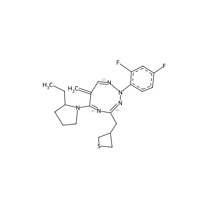 C=C1/C=N\N(c2ccc(F)cc2F)/N=C(CC2CSC2)\N=C/1N1CCCC1CC